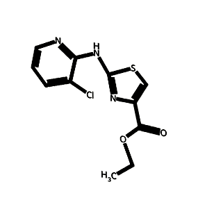 CCOC(=O)c1csc(Nc2ncccc2Cl)n1